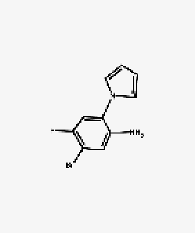 Nc1cc(Br)c(F)cc1-n1cccc1